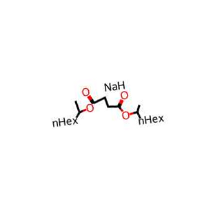 CCCCCCC(C)OC(=O)CCC(=O)OC(C)CCCCCC.[NaH]